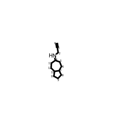 C#CCNC1CCC2CCCC2CC1